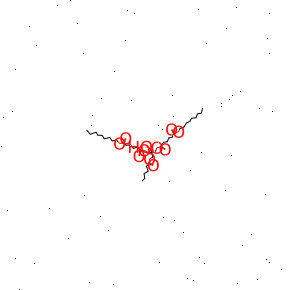 CCCCCCCCCOC(=O)CCCCC(=O)OCC(CO)(COC(=O)CCCCC)COC(=O)CCCCC(=O)OCCCCCCCCC